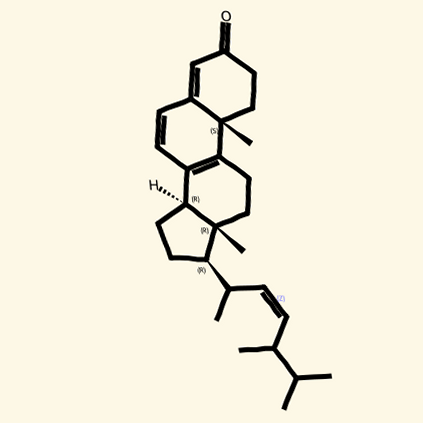 CC(C)C(C)/C=C\C(C)[C@H]1CC[C@H]2C3=C(CC[C@]12C)[C@@]1(C)CCC(=O)C=C1C=C3